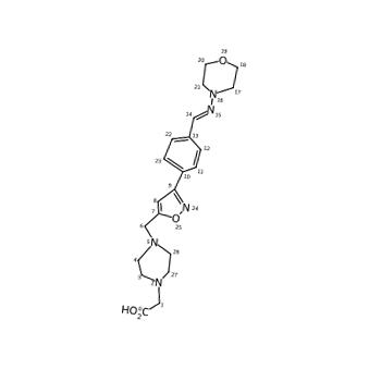 O=C(O)CN1CCN(Cc2cc(-c3ccc(C=NN4CCOCC4)cc3)no2)CC1